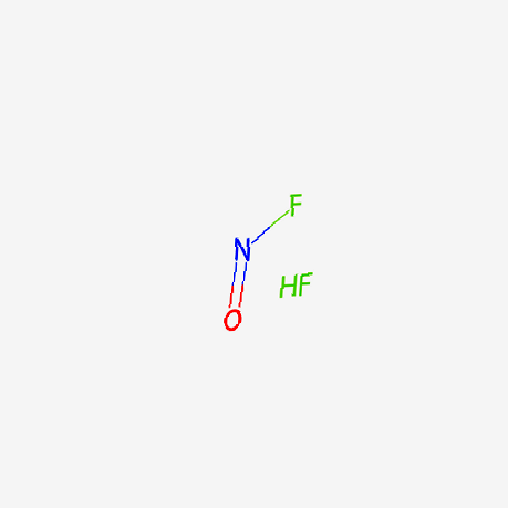 F.O=NF